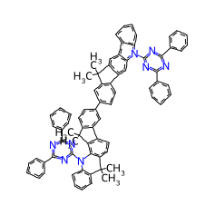 CC1(C)c2cc(-c3ccc4c(c3)-c3ccc5c(c3C4(C)C)N(c3nc(-c4ccccc4)nc(-c4ccccc4)n3)c3ccccc3C5(C)C)ccc2-c2cc3c(cc21)c1ccccc1n3-c1nc(-c2ccccc2)nc(-c2ccccc2)n1